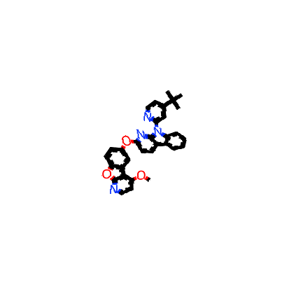 COc1ccnc2oc3ccc(Oc4ccc5c6ccccc6n(-c6cc(C(C)(C)C)ccn6)c5n4)cc3c12